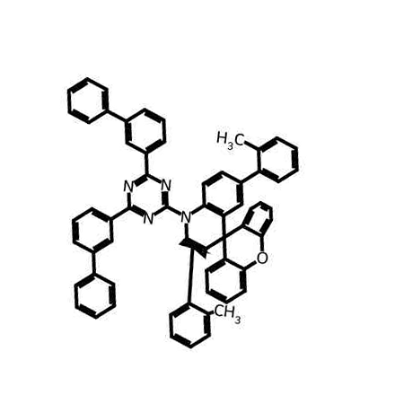 Cc1ccccc1-c1ccc2c(c1)C1(c3ccccc3Oc3ccccc31)c1cc(-c3ccccc3C)ccc1N2c1nc(-c2cccc(-c3ccccc3)c2)nc(-c2cccc(-c3ccccc3)c2)n1